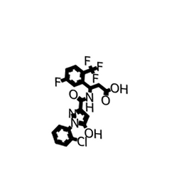 O=C(O)CC(NC(=O)c1cc(O)n(-c2ccccc2Cl)n1)c1cc(F)ccc1C(F)(F)F